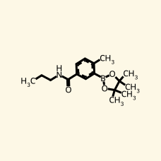 CCCNC(=O)c1ccc(C)c(B2OC(C)(C)C(C)(C)O2)c1